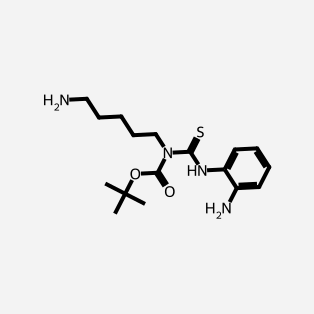 CC(C)(C)OC(=O)N(CCCCCN)C(=S)Nc1ccccc1N